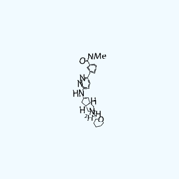 [2H]C([2H])([C@H]1CCCCO1)N1C[C@H]2CC(Nc3ccc(-c4cccc(C(=O)NC)c4)nn3)C[C@H]2C1